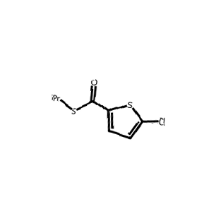 CC(C)SC(=O)c1ccc(Cl)s1